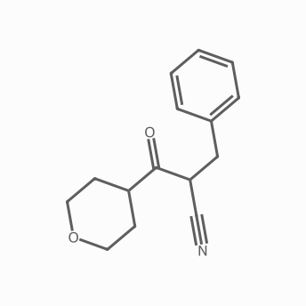 N#CC(Cc1ccccc1)C(=O)C1CCOCC1